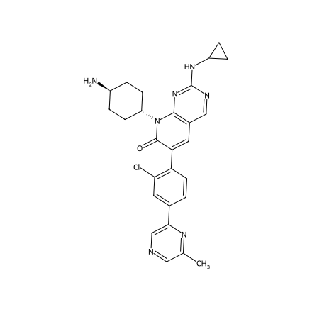 Cc1cncc(-c2ccc(-c3cc4cnc(NC5CC5)nc4n([C@H]4CC[C@H](N)CC4)c3=O)c(Cl)c2)n1